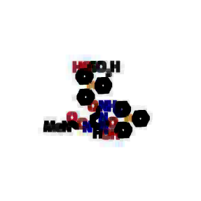 CNC(=O)CO/N=C1\C[C@@H](C(N)=O)N2C[C@@H]1N(O)C2=O.O=S(=O)(O)O.c1ccc(P(c2ccccc2)c2ccccc2)cc1.c1ccc(P(c2ccccc2)c2ccccc2)cc1